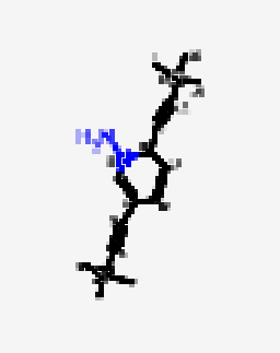 C[Si](C)(C)C#CC1=CN(N)C(C#C[Si](C)(C)C)C=C1